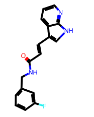 O=C(/C=C/c1c[nH]c2ncccc12)NCc1cccc(F)c1